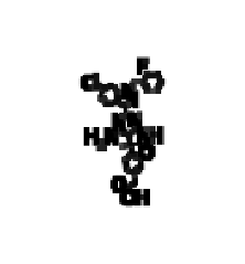 C[C@]1(c2ccc(CC(=O)O)cc2)C(=O)Nc2nc(-c3nn(Cc4ccccc4F)c4cc(Cl)ccc34)nc(N)c21